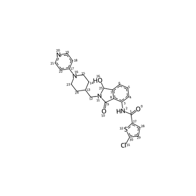 O=C(Nc1cccc2c1C(=O)N(CC1CCN(c3ccncc3)CC1)C2O)c1ccc(Cl)s1